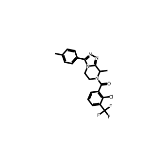 Cc1ccc(-c2nnc3n2CCN(C(=O)c2cccc(C(F)(F)F)c2Cl)C3C)cc1